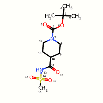 CC(C)(C)OC(=O)N1CCC(C(=O)NS(C)(=O)=O)CC1